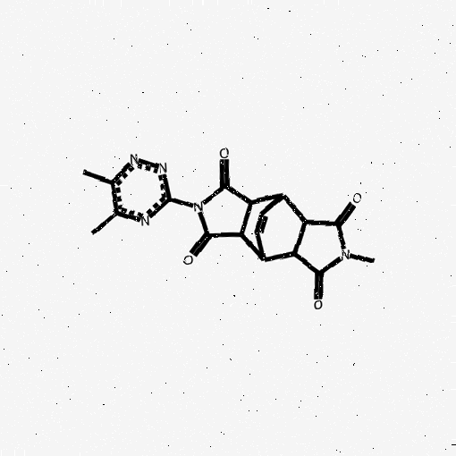 Cc1nnc(N2C(=O)C3C4C=CC(C5C(=O)N(C)C(=O)C45)C3C2=O)nc1C